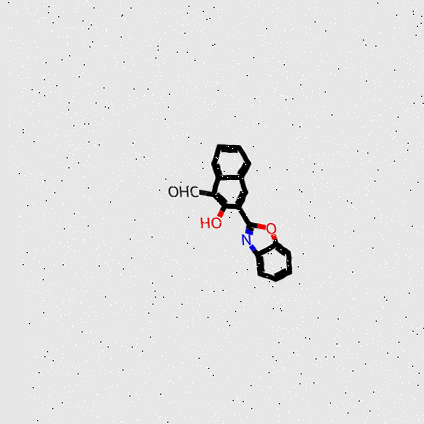 O=Cc1c(O)c(-c2nc3ccccc3o2)cc2ccccc12